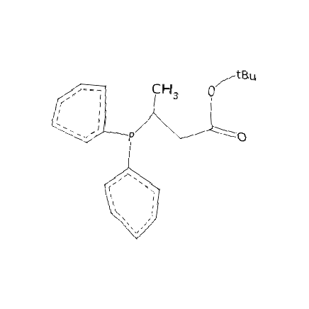 CC(CC(=O)OC(C)(C)C)P(c1ccccc1)c1ccccc1